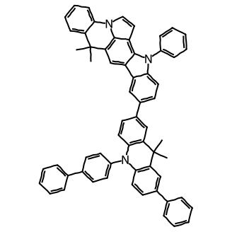 CC1(C)c2cc(-c3ccccc3)ccc2N(c2ccc(-c3ccccc3)cc2)c2ccc(-c3ccc4c(c3)c3cc5c6c(ccn6-c6ccccc6C5(C)C)c3n4-c3ccccc3)cc21